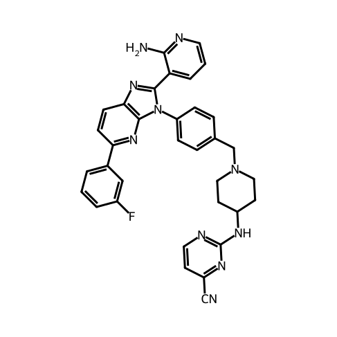 N#Cc1ccnc(NC2CCN(Cc3ccc(-n4c(-c5cccnc5N)nc5ccc(-c6cccc(F)c6)nc54)cc3)CC2)n1